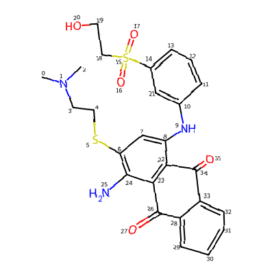 CN(C)CCSc1cc(Nc2cccc(S(=O)(=O)CCO)c2)c2c(c1N)C(=O)c1ccccc1C2=O